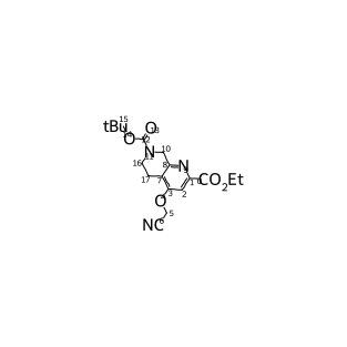 CCOC(=O)c1cc(OCC#N)c2c(n1)CN(C(=O)OC(C)(C)C)CC2